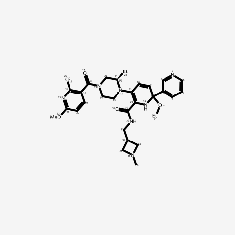 CCOC1(c2cccnc2)C=CC(N2CCN(C(=O)c3ccc(OC)nc3C(F)(F)F)C[C@H]2CC)=C(C(=O)NCC2CN(C)C2)N1